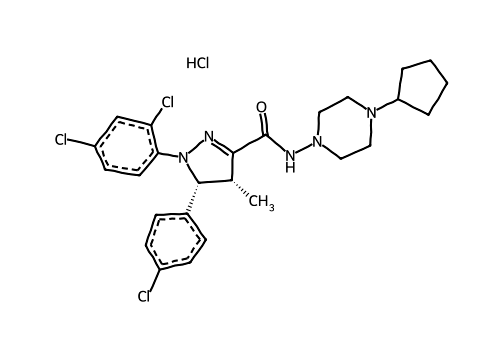 C[C@H]1C(C(=O)NN2CCN(C3CCCC3)CC2)=NN(c2ccc(Cl)cc2Cl)[C@H]1c1ccc(Cl)cc1.Cl